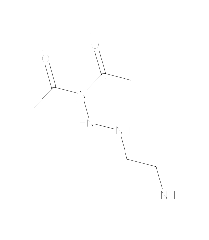 CC(=O)N(NNCCN)C(C)=O